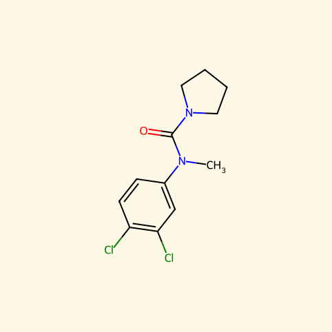 CN(C(=O)N1CCCC1)c1ccc(Cl)c(Cl)c1